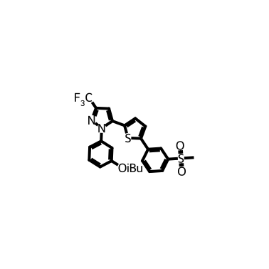 CC(C)COc1cccc(-n2nc(C(F)(F)F)cc2-c2ccc(-c3cccc(S(C)(=O)=O)c3)s2)c1